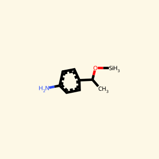 CC(O[SiH3])c1ccc(N)cc1